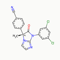 C[C@@]1(c2ccc(C#N)cc2)C(=O)N(c2cc(Cl)cc(Cl)c2)c2nccn21